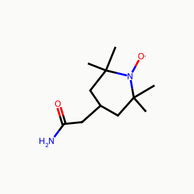 CC1(C)CC(CC(N)=O)CC(C)(C)N1[O]